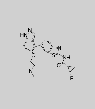 CN(C)CCOc1ccc2[nH]ncc2c1-c1ccc2nc(NC(=O)[C@@H]3C[C@@H]3F)sc2c1